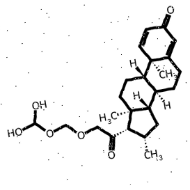 C[C@H]1C[C@H]2[C@@H]3CCC4=CC(=O)C=C[C@]4(C)[C@H]3CC[C@]2(C)[C@H]1C(=O)COCOC(O)O